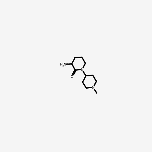 CN1CCC(N2CCCC(N)C2=O)CC1